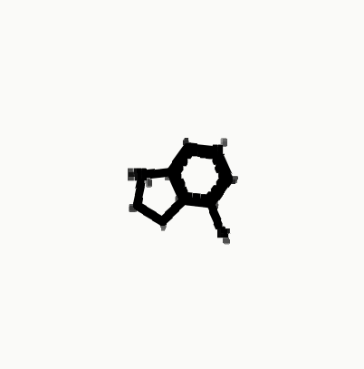 Brc1cncc2c1CCN2